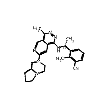 Cc1c(C#N)cccc1[C@@H](C)Nc1nnc(C)c2cnc(N3CCN4CCCC4C3)cc12